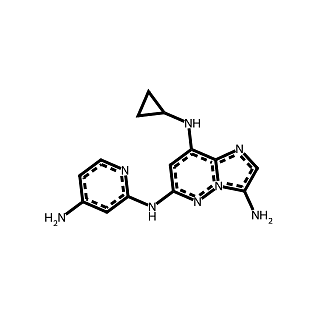 Nc1ccnc(Nc2cc(NC3CC3)c3ncc(N)n3n2)c1